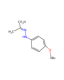 CCCCOc1ccc(NN=C(C)C(=O)O)cc1